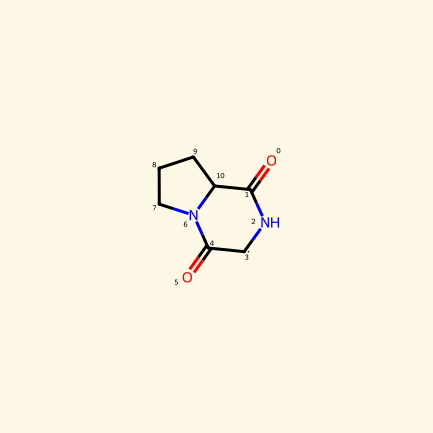 O=C1N[CH]C(=O)N2CCCC12